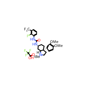 COc1ccc([C@@]23CC[C@@H](NC(=O)Nc4cccc(C(F)(F)F)c4F)C[C@@H]2N(C(C)(C)C)CC3)cc1OC.O=C(O)C(F)(F)F